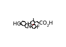 Cc1cc(C2(C)c3ccc(O)cc3CCN2c2ccc(F)cc2)ccc1/C=C/C(=O)O